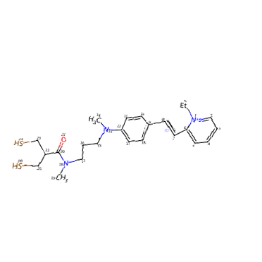 CC[n+]1ccccc1/C=C/c1ccc(N(C)CCCN(C)C(=O)C(CS)CS)cc1